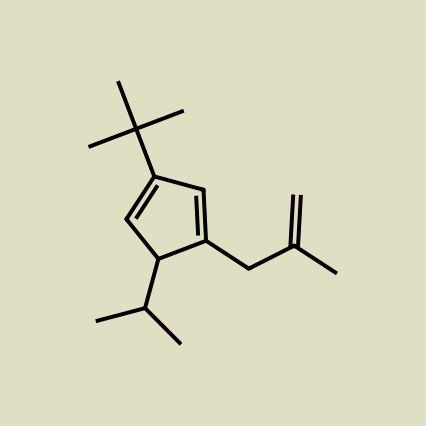 C=C(C)CC1=CC(C(C)(C)C)=CC1C(C)C